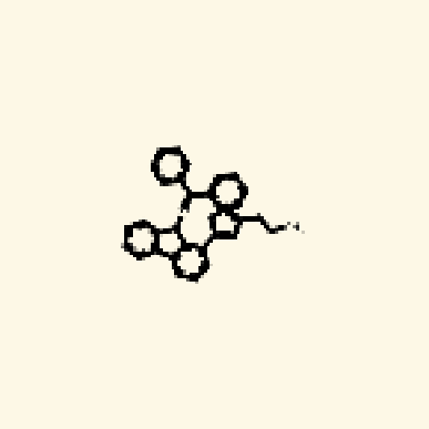 CCCC1=CCC(c2cccc3c2[CH]([Zr]=[C](c2ccccc2)c2ccccc2)c2ccccc2-3)=C1